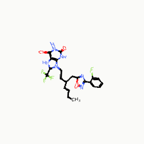 CCCCC(CCN1c2[nH]c(=O)[nH]c(=O)c2NC1C(F)(F)F)Cc1nc(-c2ccccc2F)no1